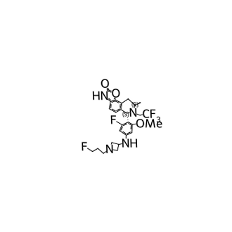 COc1cc(NC2CN(CCCF)C2)cc(F)c1[C@@H]1c2ccc3[nH]c(=O)oc3c2C[C@@H](C)N1CC(F)(F)F